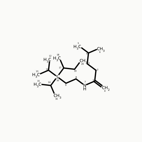 C=C(CCC(C)C)NCCS(C(C)C)(C(C)C)C(C)CC